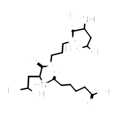 CNC(CC(C)C)C(=O)OCCCOC(=O)C(CC(C)C)NC(=O)CCCCC(C)=O